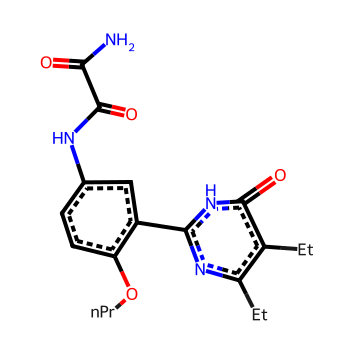 CCCOc1ccc(NC(=O)C(N)=O)cc1-c1nc(CC)c(CC)c(=O)[nH]1